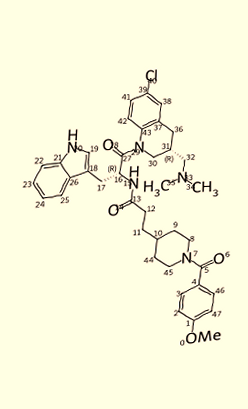 COc1ccc(C(=O)N2CCC(CCC(=O)N[C@H](Cc3c[nH]c4ccccc34)C(=O)N3C[C@@H](CN(C)C)Cc4cc(Cl)ccc43)CC2)cc1